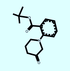 CC(C)(C)OC(=O)c1ccccc1N1CCCC(=O)C1